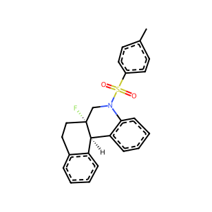 Cc1ccc(S(=O)(=O)N2C[C@]3(F)CCc4ccccc4[C@@H]3c3ccccc32)cc1